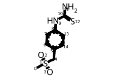 CS(=O)(=O)Cc1ccc(NC(N)=S)cc1